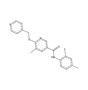 Cc1ccc(NC(=O)c2cnc(OCc3ccncc3)c(C)c2)c(F)c1